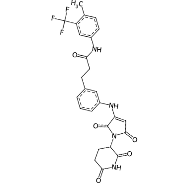 Cc1ccc(NC(=O)CCc2cccc(NC3=CC(=O)N(C4CCC(=O)NC4=O)C3=O)c2)cc1C(F)(F)F